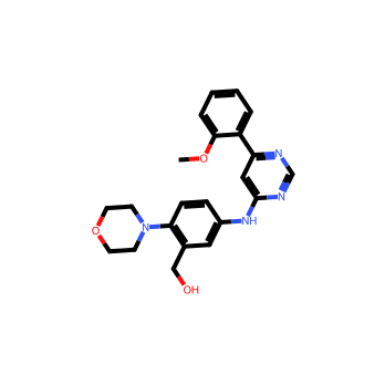 COc1ccccc1-c1cc(Nc2ccc(N3CCOCC3)c(CO)c2)ncn1